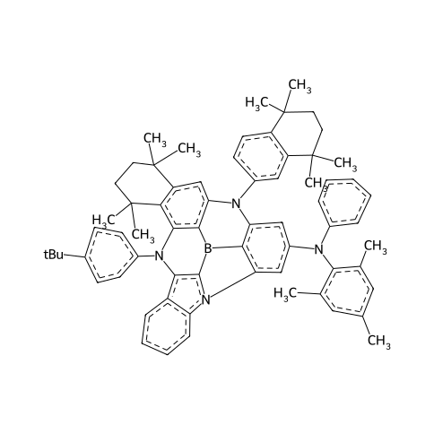 Cc1cc(C)c(N(c2ccccc2)c2cc3c4c(c2)-n2c5c(c6ccccc62)N(c2ccc(C(C)(C)C)cc2)c2c(c(cc6c2C(C)(C)CCC6(C)C)N3c2ccc3c(c2)C(C)(C)CCC3(C)C)B45)c(C)c1